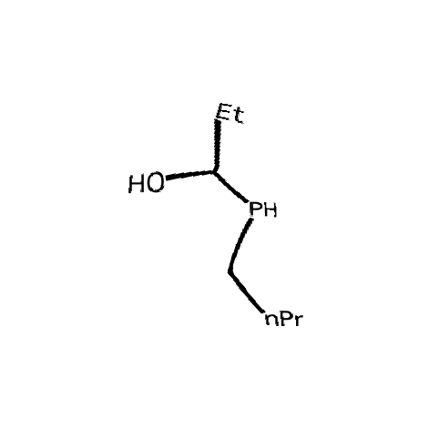 CCCCPC(O)CC